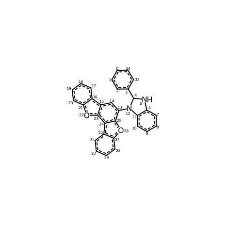 c1ccc(C2Nc3ccccc3N2c2cc3c4ccccc4oc3c3c2oc2ccccc23)cc1